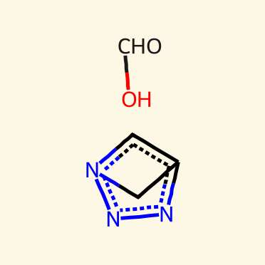 O=CO.c1c2nnn1C2